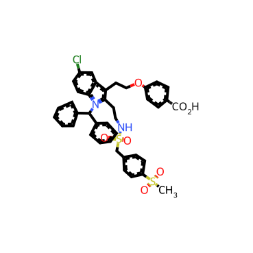 CS(=O)(=O)c1ccc(CS(=O)(=O)NCCc2c(CCOc3ccc(C(=O)O)cc3)c3cc(Cl)ccc3n2C(c2ccccc2)c2ccccc2)cc1